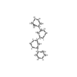 c1cc(-c2cccc(-c3nccnn3)n2)nc(-c2nccnn2)c1